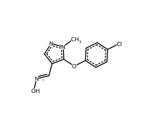 Cn1ncc(/C=N/O)c1Oc1ccc(Cl)cc1